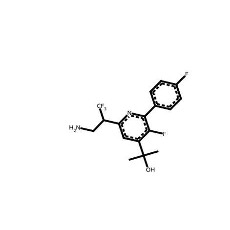 CC(C)(O)c1cc(C(CN)C(F)(F)F)nc(-c2ccc(F)cc2)c1F